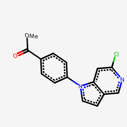 COC(=O)c1ccc(-n2ccc3cnc(Cl)cc32)cc1